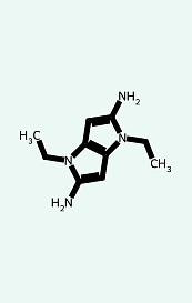 CCn1c(N)cc2c1cc(N)n2CC